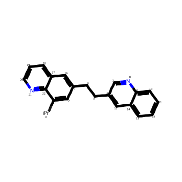 CC(C)c1cc(CCc2cnc3ccccc3c2)cc2cccnc12